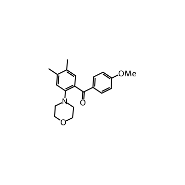 COc1ccc(C(=O)c2cc(C)c(C)cc2N2CCOCC2)cc1